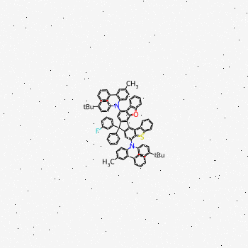 Cc1ccc(N(c2ccc(C(C)(C)C)cc2)c2cc3c(c4c2sc2ccccc24)-c2c(cc(N(c4ccc(C(C)(C)C)cc4)c4ccc(C)cc4-c4ccccc4)c4c2oc2ccccc24)C3(c2ccccc2)c2cccc(F)c2)c(-c2ccccc2)c1